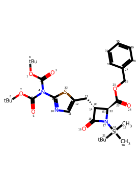 CC(C)(C)OC(=O)N(C(=O)OC(C)(C)C)c1ncc(C[C@H]2C(=O)N([Si](C)(C)C(C)(C)C)[C@@H]2C(=O)OCc2ccccc2)s1